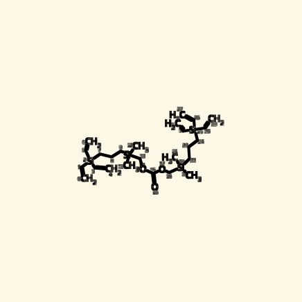 C=C[Si](C=C)(C=C)CCC[Si](C)(C)COC(=O)OC[Si](C)(C)CCC[Si](C=C)(C=C)C=C